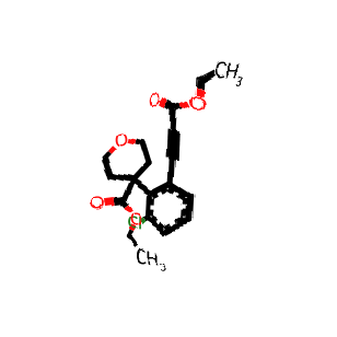 CCOC(=O)C#Cc1cccc(Cl)c1C1(C(=O)OCC)CCOCC1